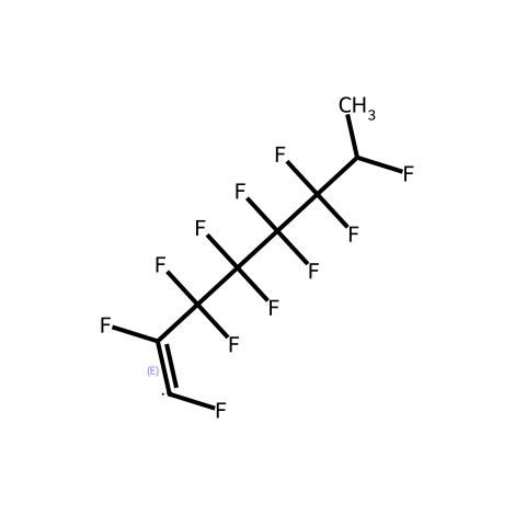 CC(F)C(F)(F)C(F)(F)C(F)(F)C(F)(F)/C(F)=[C]\F